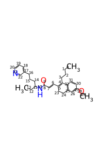 CCCCC1=C(/C=C/C(=O)NC(CC)CCCc2cccnc2)CCc2cc(OC)ccc21